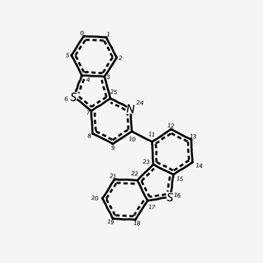 c1ccc2c(c1)sc1ccc(-c3cccc4sc5ccccc5c34)nc12